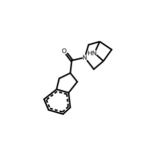 O=C(C1Cc2ccccc2C1)N1CC2CC(C1)N2